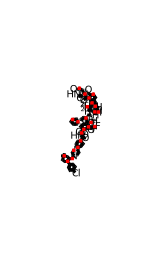 [2H]C1([2H])N(CC[C@H](CSc2ccccc2)Nc2ccc(S(=O)(=O)NC(=O)c3ccc(N4CCN(CC5=C(c6ccc(Cl)cc6)CCC(C)(C)C5)CC4)cc3)cc2S(=O)(=O)C(F)(F)F)C([2H])([2H])C([2H])([2H])N(Cc2ccc3c(c2)C(=O)N(N2CCC(=O)NC2=O)C3=O)C1([2H])[2H]